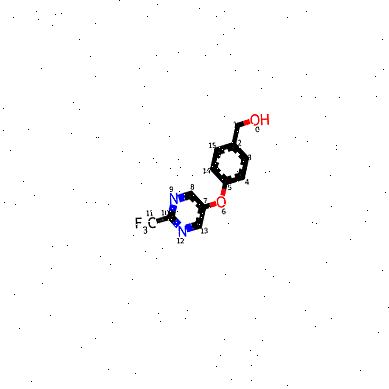 OCc1ccc(Oc2cnc(C(F)(F)F)nc2)cc1